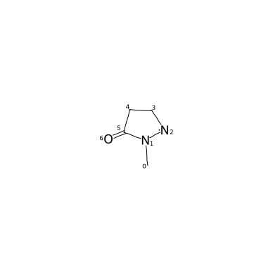 CN1[N]CCC1=O